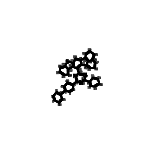 c1ccc(-c2ccc(-c3nc(-c4ccccc4)nc(-c4c5c(cc6sc7ccccc7c46)-c4cccc6cccc-5c46)n3)cc2)cc1